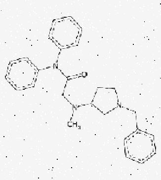 CN(CC(=O)N(c1ccccc1)c1ccccc1)C1CCN(Cc2ccccc2)C1